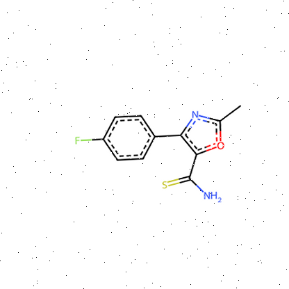 Cc1nc(-c2ccc(F)cc2)c(C(N)=S)o1